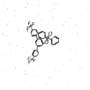 O=P(Oc1cc(-c2ccc(C(F)(F)F)cc2)cc(-c2ccc(C(F)(F)F)cc2)c1)(c1ccccc1)c1ccccc1